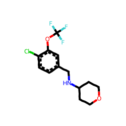 FC(F)(F)Oc1cc(CNC2CCOCC2)ccc1Cl